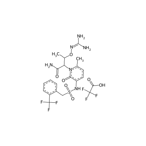 Cc1ccc(NS(=O)(=O)Cc2ccccc2C(F)(F)F)c(=O)n1C(C(N)=O)C(C)ON=C(N)N.O=C(O)C(F)(F)F